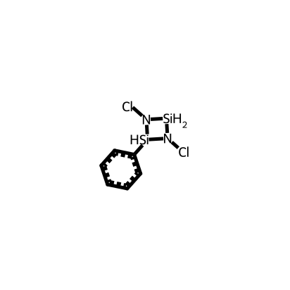 ClN1[SiH2]N(Cl)[SiH]1c1ccccc1